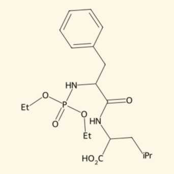 CCOP(=O)(NC(Cc1ccccc1)C(=O)NC(CC(C)C)C(=O)O)OCC